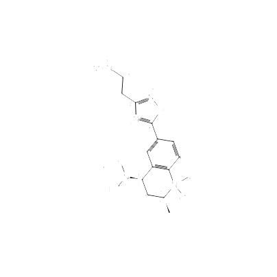 CCN(C(=O)O)[C@@H]1C[C@H](C)[N+](C)(C(C)=O)c2ccc(-c3nc(CCNC)no3)cc21.Cl